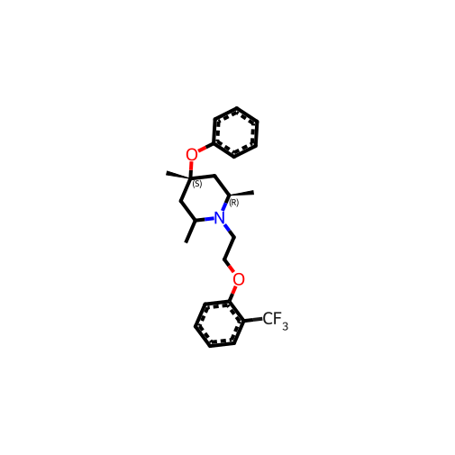 CC1C[C@](C)(Oc2ccccc2)C[C@@H](C)N1CCOc1ccccc1C(F)(F)F